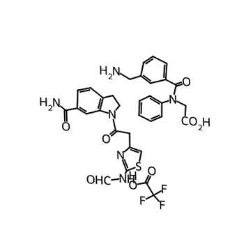 NC(=O)c1ccc2c(c1)N(C(=O)Cc1csc(NC=O)n1)CC2.NCc1cccc(C(=O)N(CC(=O)O)c2ccccc2)c1.O=C(O)C(F)(F)F